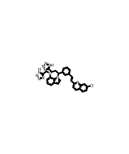 Clc1ccc2ccc(C=Cc3cccc(C(CCc4nnn[nH]4)n4ccc5cccc(OCc6nnn[nH]6)c54)c3)nc2c1